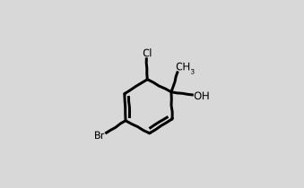 CC1(O)C=CC(Br)=CC1Cl